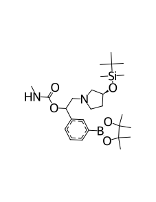 CNC(=O)OC(CN1CC[C@H](O[Si](C)(C)C(C)(C)C)C1)c1cccc(B2OC(C)(C)C(C)(C)O2)c1